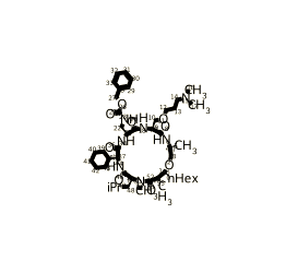 CCCCCC[C@H]1OC[C@@H](C)NC(=O)[C@H](COCCCN(C)C)NC(=O)[C@H](CNC(=O)OCc2ccccc2)NC(=O)[C@H](C2CCCCC2)NC(=O)[C@H](CC(C)C)N(C)C(=O)[C@@H]1C